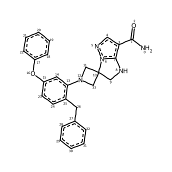 NC(=O)c1cnn2c1NCC21CN(c2cc(Oc3ccccc3)ccc2Cc2ccccc2)C1